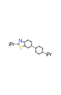 CC(C)c1ccc(-c2ccc3nc(C(C)C)sc3c2)cc1